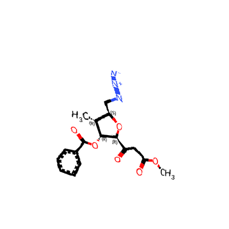 COC(=O)CC(=O)[C@@H]1O[C@H](CN=[N+]=[N-])[C@@H](C)[C@H]1OC(=O)c1ccccc1